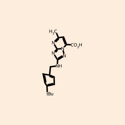 Cc1cc(C(=O)O)n2nc(NCc3ccc(C(C)(C)C)cc3)nc2n1